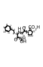 C[C@H](N[C@@H](CCc1ccccc1)C(=O)NO)C(=O)N1CCC[C@H]1C(=O)O